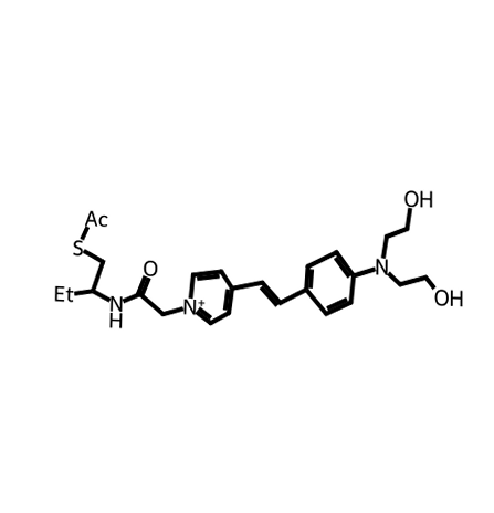 CCC(CSC(C)=O)NC(=O)C[n+]1ccc(/C=C/c2ccc(N(CCO)CCO)cc2)cc1